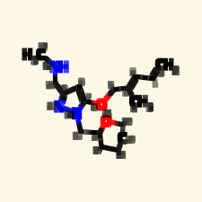 C=C/C=C(\C)COc1cc(CNC)nn1CC1CCCCO1